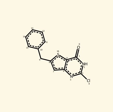 O=c1[nH]c(Cl)nc2cc(Cc3ccccc3)sc12